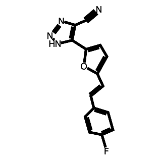 N#Cc1nn[nH]c1-c1ccc(/C=C/c2ccc(F)cc2)o1